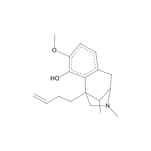 C=CCCC12CN(C)C(Cc3ccc(OC)c(O)c31)C2C